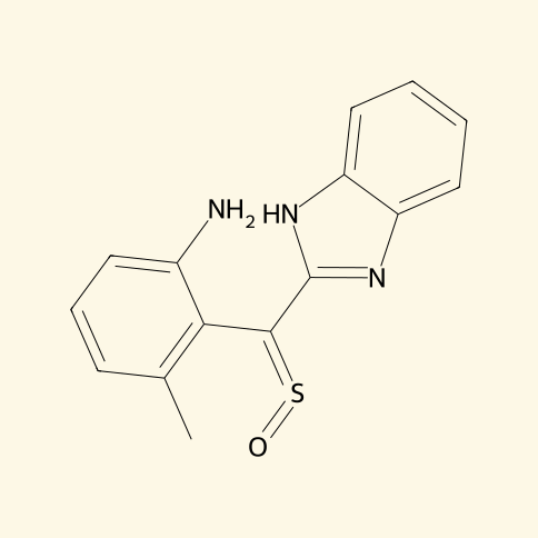 Cc1cccc(N)c1C(=S=O)c1nc2ccccc2[nH]1